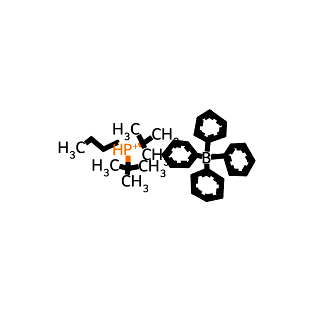 CCCC[PH+](C(C)(C)C)C(C)(C)C.c1ccc([B-](c2ccccc2)(c2ccccc2)c2ccccc2)cc1